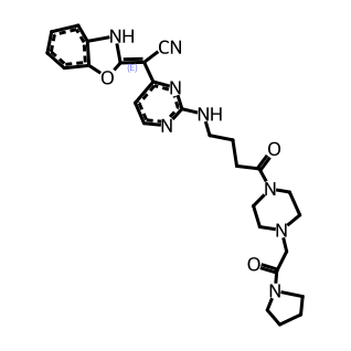 N#C/C(=C1\Nc2ccccc2O1)c1ccnc(NCCCC(=O)N2CCN(CC(=O)N3CCCC3)CC2)n1